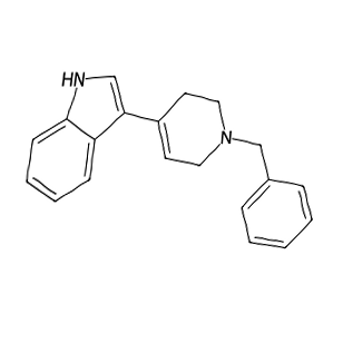 C1=C(c2c[nH]c3ccccc23)CCN(Cc2ccccc2)C1